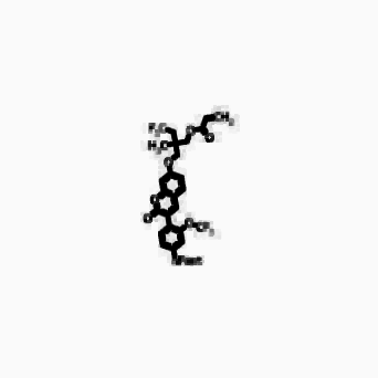 C=CC(=O)OCC(C)(COc1ccc2cc(-c3ccc(CCCCC)cc3OC(F)(F)F)c(=O)oc2c1)CC(F)(F)F